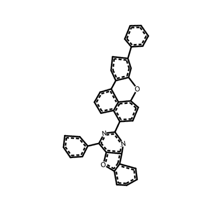 c1ccc(-c2ccc3c(c2)Oc2ccc(-c4nc(-c5ccccc5)c5oc6ccccc6c5n4)c4cccc-3c24)cc1